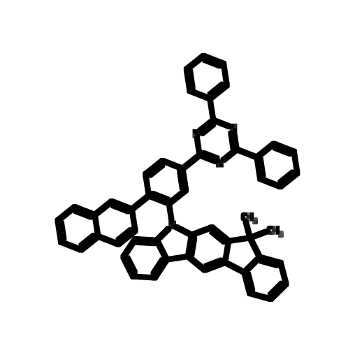 CC1(C)c2ccccc2-c2cc3c4ccccc4n(-c4cc(-c5nc(-c6ccccc6)nc(-c6ccccc6)n5)ccc4-c4ccc5ccccc5c4)c3cc21